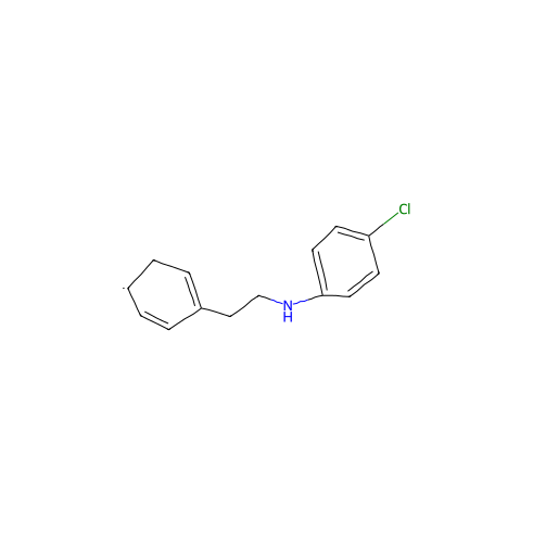 Clc1ccc(NCCC2=CC[CH]C=C2)cc1